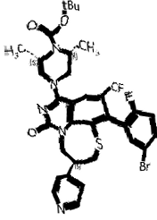 C[C@@H]1CN(c2nc(=O)n3c4c(c(-c5cc(Br)c(F)cc5F)c(C(F)(F)F)cc24)SC[C@@H](c2ccncc2)C3)C[C@H](C)N1C(=O)OC(C)(C)C